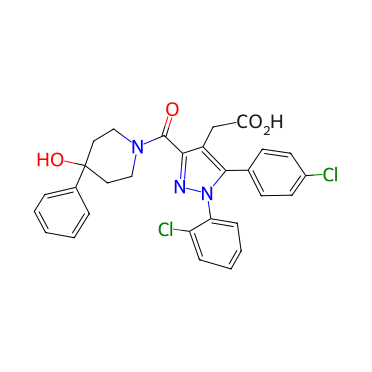 O=C(O)Cc1c(C(=O)N2CCC(O)(c3ccccc3)CC2)nn(-c2ccccc2Cl)c1-c1ccc(Cl)cc1